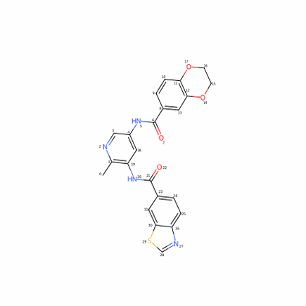 Cc1ncc(NC(=O)c2ccc3c(c2)OCCO3)cc1NC(=O)c1ccc2ncsc2c1